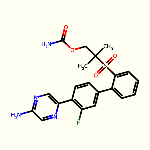 CC(C)(COC(N)=O)S(=O)(=O)c1ccccc1-c1ccc(-c2cnc(N)cn2)c(F)c1